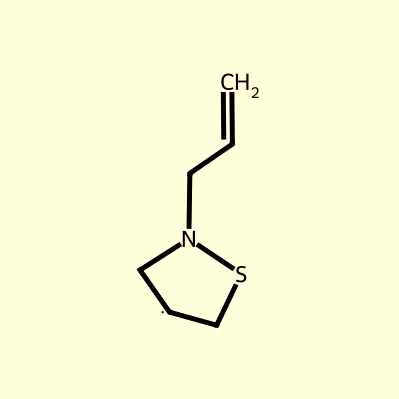 C=CCN1C[CH]CS1